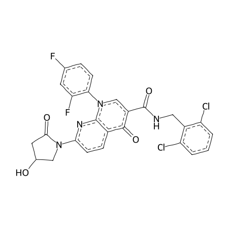 O=C(NCc1c(Cl)cccc1Cl)c1cn(-c2ccc(F)cc2F)c2nc(N3CC(O)CC3=O)ccc2c1=O